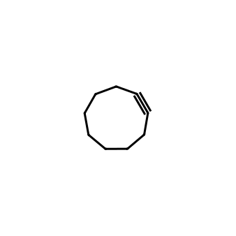 C1#CCCCCCCC1